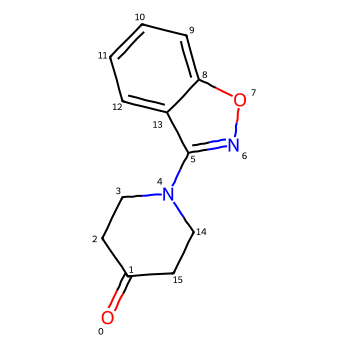 O=C1CCN(c2noc3ccccc23)CC1